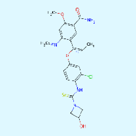 C=Nc1cc(OC)c(C(N)=O)cc1/C(=C\C)Oc1ccc(NC(=S)N2CC(O)C2)c(Cl)c1